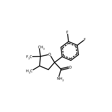 CC1CC(C(N)=O)(c2ccc(F)c(F)c2)OC1(C)C(F)(F)F